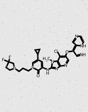 Cn1c(Nc2cc(C3CC3)cn(CCCN3CCC(F)(F)C3)c2=O)nc2ncc(O/C(C=N)=C3\C=NC=CN3)c(Cl)c21